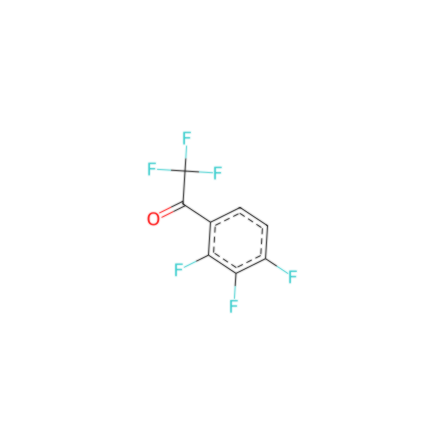 O=C(c1ccc(F)c(F)c1F)C(F)(F)F